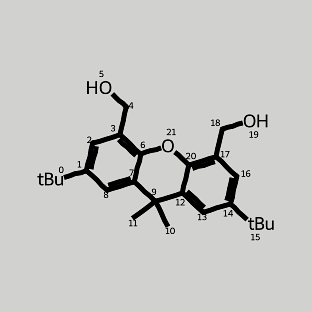 CC(C)(C)c1cc(CO)c2c(c1)C(C)(C)c1cc(C(C)(C)C)cc(CO)c1O2